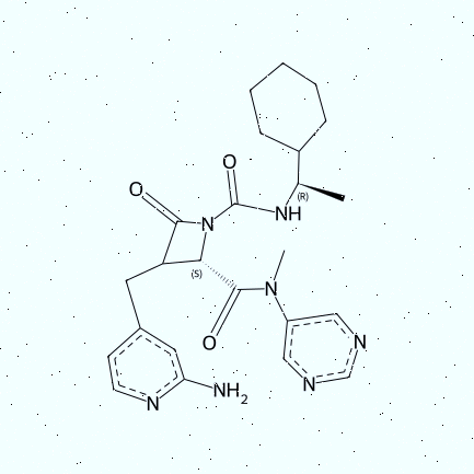 C[C@@H](NC(=O)N1C(=O)C(Cc2ccnc(N)c2)[C@H]1C(=O)N(C)c1cncnc1)C1CCCCC1